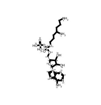 NCCCC(N)CCCOP(=O)(OC[C@H]1O[C@@H](n2cnc3c(N)ncnc32)C(O)C1O)OP(=O)(O)O